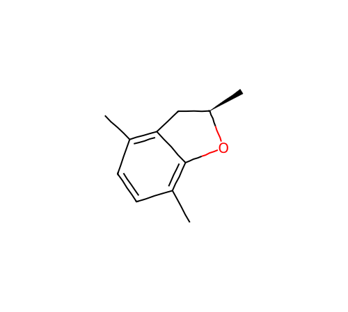 Cc1ccc(C)c2c1C[C@@H](C)O2